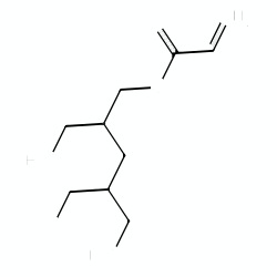 C=CC(=O)OCC(CC)CC(CC)CC